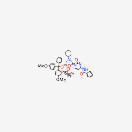 COc1ccc(C(OC[C@]2(CO[Si](C(C)C)(C(C)C)C(C)C)CN(C3CCCCC3)C[C@H](n3ccc(NC(=O)c4ccccc4)nc3=O)O2)(c2ccccc2)c2ccc(OC)cc2)cc1